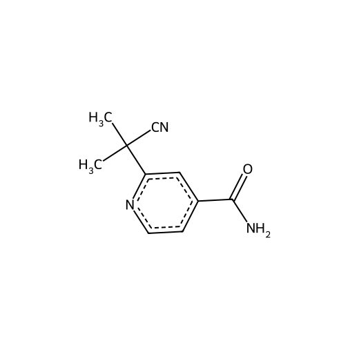 CC(C)(C#N)c1cc(C(N)=O)ccn1